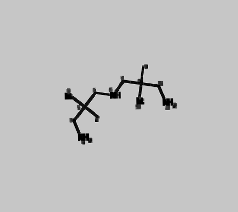 CCC(C)(CN)CNCC(C)(CC)CN